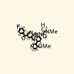 CN[C@H](C)C(=O)Nc1ccc(-c2cnccc2OC)n(Cc2cncc(C(=O)c3ccc(F)cc3)c2)c1=O